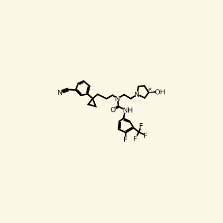 N#Cc1cccc(C2(CCCN(CCN3CC[C@@H](O)C3)C(=O)Nc3ccc(F)c(C(F)(F)F)c3)CC2)c1